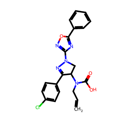 C=CCN(C(=O)O)C1CN(c2noc(-c3ccccc3)n2)N=C1c1ccc(Cl)cc1